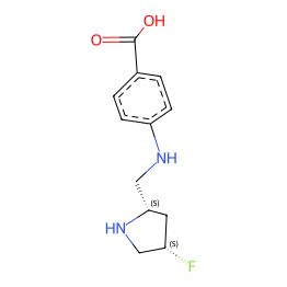 O=C(O)c1ccc(NC[C@@H]2C[C@H](F)CN2)cc1